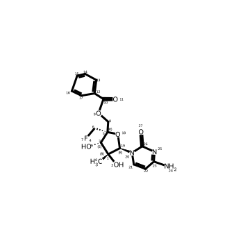 C[C@@]1(O)[C@H](O)[C@@](CF)(COC(=O)c2ccccc2)O[C@H]1n1ccc(N)nc1=O